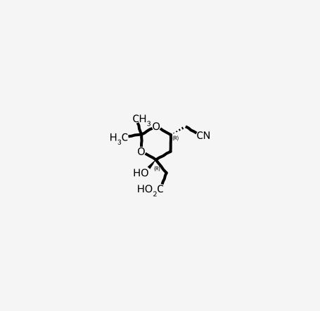 CC1(C)O[C@H](CC#N)C[C@](O)(CC(=O)O)O1